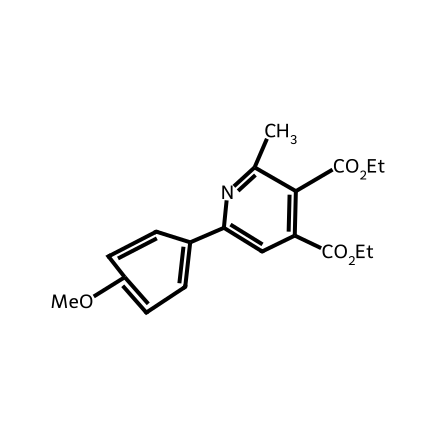 CCOC(=O)c1cc(-c2ccc(OC)cc2)nc(C)c1C(=O)OCC